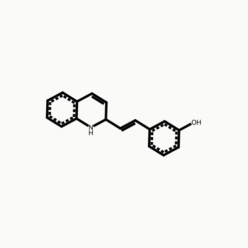 Oc1cccc(/C=C/C2C=Cc3ccccc3N2)c1